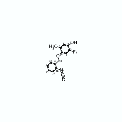 Cc1cc(O)c(F)cc1OCc1ccccc1N=C=O